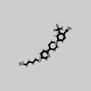 N#Cc1ccc(N2CCC(c3ccc(OCCCCBr)cn3)CC2)cc1C(F)(F)F